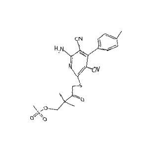 Cc1ccc(-c2c(C#N)c(N)nc(SCC(=O)C(C)(C)COS(C)(=O)=O)c2C#N)cc1